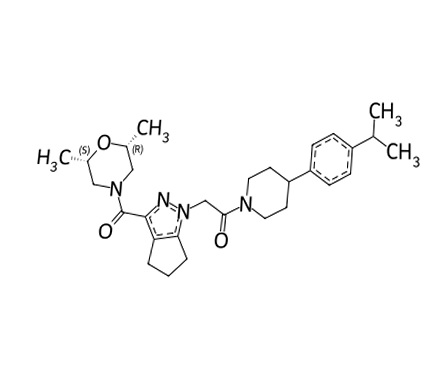 CC(C)c1ccc(C2CCN(C(=O)Cn3nc(C(=O)N4C[C@@H](C)O[C@@H](C)C4)c4c3CCC4)CC2)cc1